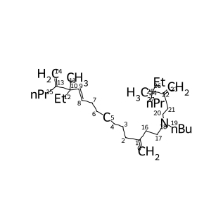 C=C(CCCCCC/C=C/C(C)(CC)C(=C)CCC)CCN(CCCC)CCC(=C)C(C)(CC)CCC